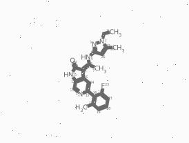 CCn1nc(N/C(C)=C2\C(=O)Nc3cnc(-c4c(C)cccc4F)cc32)cc1C